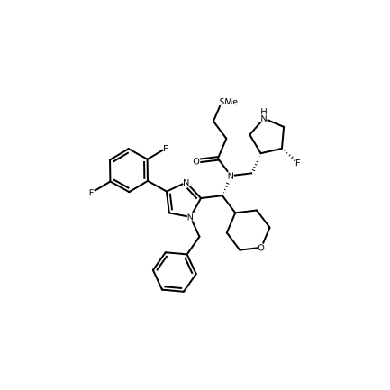 CSCCC(=O)N(C[C@@H]1CNC[C@@H]1F)[C@@H](c1nc(-c2cc(F)ccc2F)cn1Cc1ccccc1)C1CCOCC1